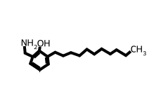 CCCCCCCCCCCc1c[c]cc(CN)c1O